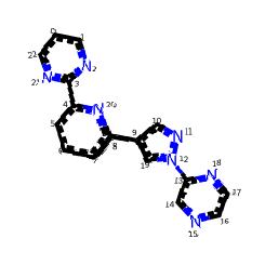 c1cnc(-c2cccc(-c3cnn(-c4cnccn4)c3)n2)nc1